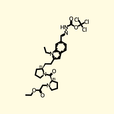 CCOC(=O)CN1CCC[C@@H]1C(=O)N1CCC[C@H]1CCc1cc2ccc(C=NNC(=O)OC(Cl)(Cl)Cl)cc2n1CC